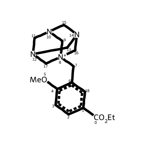 CCOC(=O)c1ccc(OC)c(C[N+]23CN4CN(CN(C4)C2)C3)c1